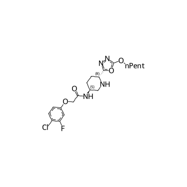 CCCCCOc1nnc([C@H]2CC[C@H](NC(=O)COc3ccc(Cl)c(F)c3)CN2)o1